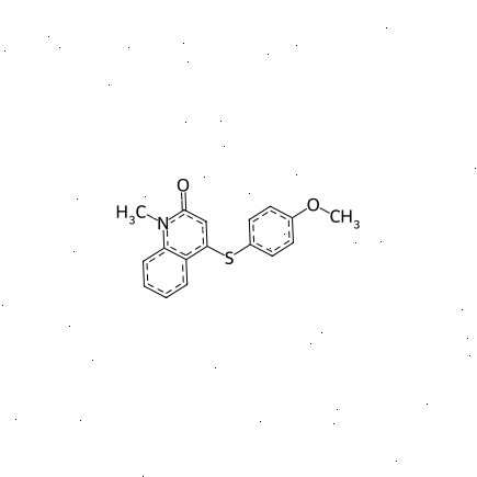 COc1ccc(Sc2cc(=O)n(C)c3ccccc23)cc1